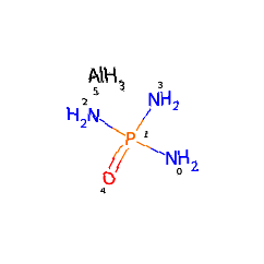 NP(N)(N)=O.[AlH3]